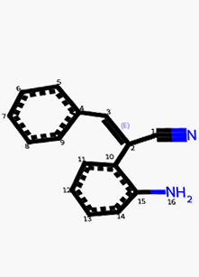 N#C/C(=C/c1ccccc1)c1ccccc1N